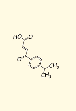 CC(C)c1ccc(C(=O)/C=C/C(=O)O)cc1